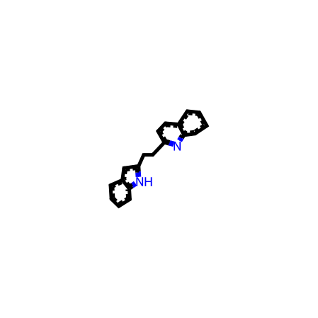 c1ccc2nc(CCc3cc4ccccc4[nH]3)ccc2c1